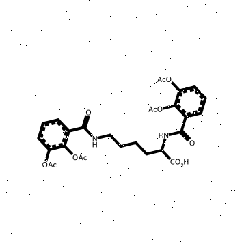 CC(=O)Oc1cccc(C(=O)NCCCCC(NC(=O)c2cccc(OC(C)=O)c2OC(C)=O)C(=O)O)c1OC(C)=O